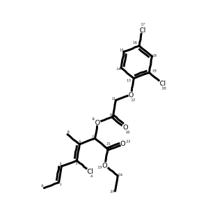 C/C=C/C(Cl)=C(\C)C(OC(=O)COc1ccc(Cl)cc1Cl)C(=O)OCC